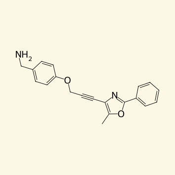 Cc1oc(-c2ccccc2)nc1C#CCOc1ccc(CN)cc1